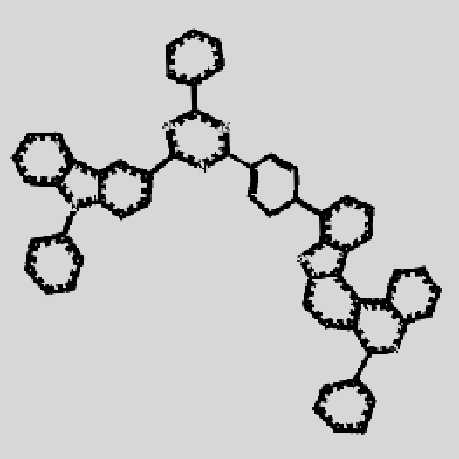 C1=CC(c2cccc3c2sc2ccc4c(-c5ccccc5)nc5ccccc5c4c23)CC=C1c1nc(-c2ccccc2)nc(-c2ccc3c(c2)c2ccccc2n3-c2ccccc2)n1